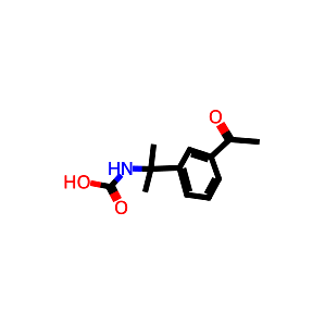 CC(=O)c1cccc(C(C)(C)NC(=O)O)c1